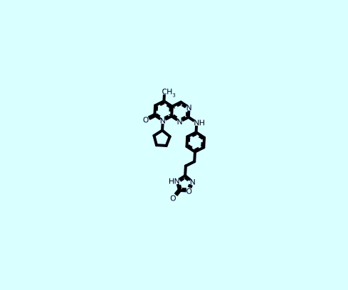 Cc1cc(=O)n(C2CCCC2)c2nc(Nc3ccc(CCc4noc(=O)[nH]4)cc3)ncc12